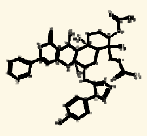 CC(=O)OCC1(C)C2C[C@@H](Sc3nnnn3-c3ccc(O)cc3)[C@@]3(C)Oc4cc(-c5cccnc5)oc(=O)c4[C@H](O)C3[C@@]2(C)CC[C@@H]1OC(C)=O